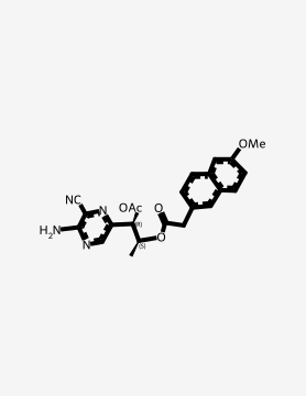 COc1ccc2cc(CC(=O)O[C@@H](C)[C@H](OC(C)=O)c3cnc(N)c(C#N)n3)ccc2c1